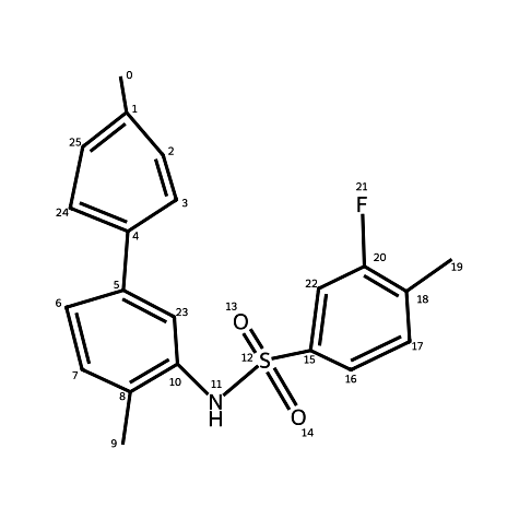 Cc1ccc(-c2ccc(C)c(NS(=O)(=O)c3ccc(C)c(F)c3)c2)cc1